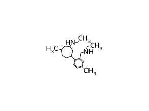 CCNCc1cc(C)ccc1C1CCC(C)CC(NCC)C1